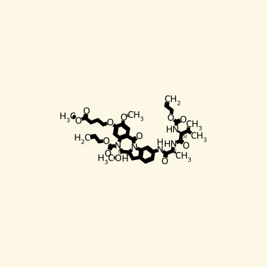 C=CCOC(=O)N[C@H](C(=O)N[C@@H](C)C(=O)Nc1ccc2c(c1)N1C(=O)c3cc(OC)c(OCCCC(=O)OC)cc3N(C(=O)OCC=C)[C@@H](OC)[C@@H]1C2)C(C)C